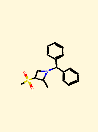 CC1C(S(C)(=O)=O)CN1C(c1ccccc1)c1ccccc1